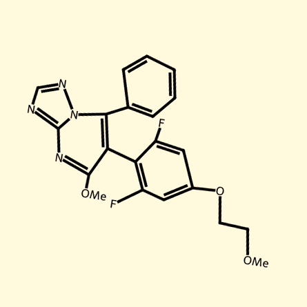 COCCOc1cc(F)c(-c2c(OC)nc3ncnn3c2-c2ccccc2)c(F)c1